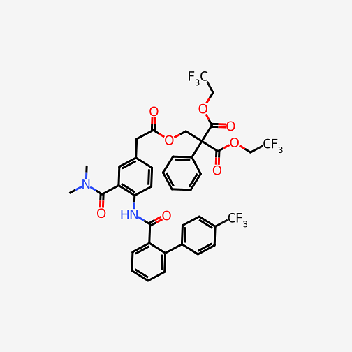 CN(C)C(=O)c1cc(CC(=O)OCC(C(=O)OCC(F)(F)F)(C(=O)OCC(F)(F)F)c2ccccc2)ccc1NC(=O)c1ccccc1-c1ccc(C(F)(F)F)cc1